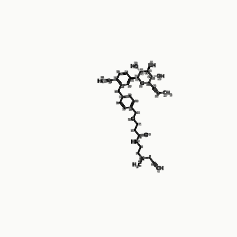 C#CCN(C)CCNC(=O)CCOCc1ccc(Cc2cc([C@@H]3OC(C#SC)[C@@H](O)[C@H](O)[C@H]3O)ccc2C#C)cc1